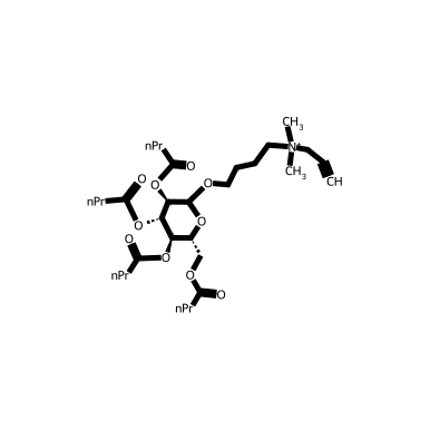 C#CC[N+](C)(C)CCCCOC1O[C@H](COC(=O)CCC)[C@@H](OC(=O)CCC)[C@H](OC(=O)CCC)[C@H]1OC(=O)CCC